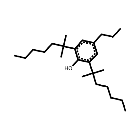 CCCCCC(C)(C)c1cc(CCC)cc(C(C)(C)CCCCC)c1O